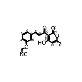 [C-]#[N+]COc1cccc(/C=C/C(=O)c2c(O)cc(C)oc2=O)c1